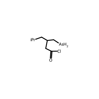 CC(C)CC(C[AsH2])CC(=O)Cl